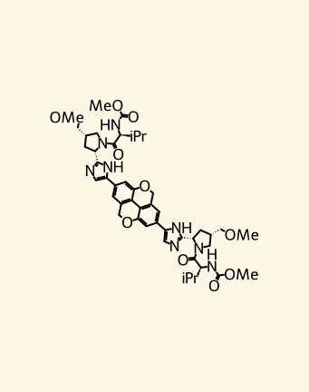 COC[C@H]1C[C@@H](c2ncc(-c3cc4c5c(c3)OCc3cc(-c6cnc([C@@H]7C[C@H](COC)CN7C(=O)[C@@H](NC(=O)OC)C(C)C)[nH]6)cc(c3-5)OC4)[nH]2)N(C(=O)[C@@H](NC(=O)OC)C(C)C)C1